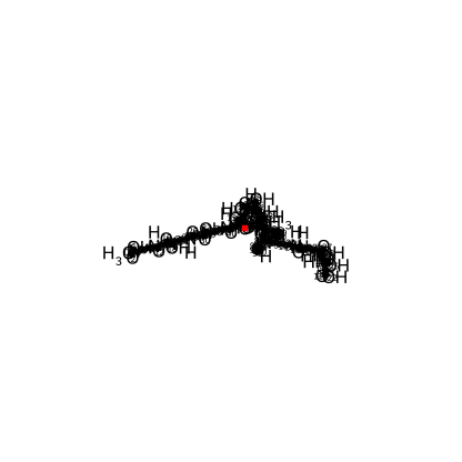 CC(=O)N(O)CCCCCNC(=O)CCC(=O)N(O)CCCCCNC(=O)CCC(=O)N(O)CCCCCNC(=O)CCN1C(=O)CC(SC[C@H](NC(=O)[C@H](CC(=O)O)NC(=O)[C@H](C)NC(=O)[C@H](CC(=O)O)NC(=O)[C@H](Cc2ccccc2)NC(=O)[C@H](Cc2ccccc2)NC(=O)CCCCCCCNC(=O)NCCCC[C@H](NC(=O)N[C@@H](CCC(=O)O)C(=O)O)C(=O)O)C(=O)O)C1=O